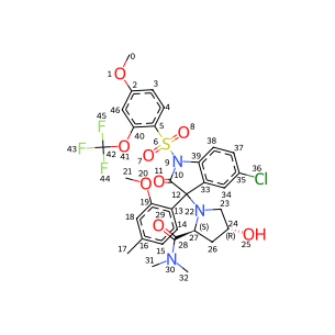 COc1ccc(S(=O)(=O)N2C(=O)C(c3ccc(C)cc3OC)(N3C[C@H](O)C[C@H]3C(=O)N(C)C)c3cc(Cl)ccc32)c(OC(F)(F)F)c1